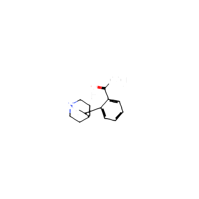 O=C(O)C(=O)c1ccccc1[C@@H]1CN2CCC1CC2